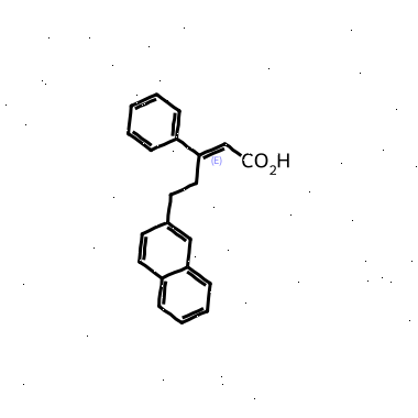 O=C(O)/C=C(\CCc1ccc2ccccc2c1)c1ccccc1